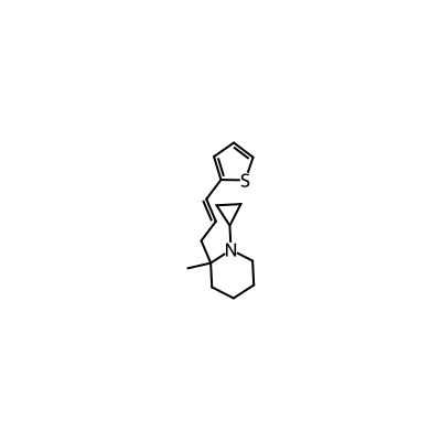 CC1(CC=Cc2cccs2)CCCCN1C1CC1